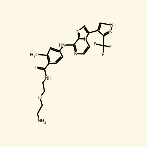 Cc1cc(Nc2nccn3c(-c4c[nH]nc4C(F)(F)F)cnc23)ccc1C(=O)NCCOCCN